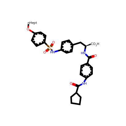 CCCCCCCOc1ccc(S(=O)(=O)Nc2ccc(C[C@H](NC(=O)c3ccc(NC(=O)C4CCCC4)cc3)C(=O)O)cc2)cc1